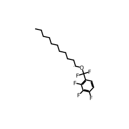 CCCCCCCCCC[CH]OC(F)(F)c1ccc(F)c(F)c1F